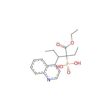 CCOC(=O)C(CC)(C(CC)c1ccnc2ccccc12)P(=O)(O)O